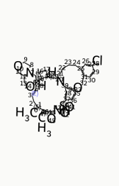 C[C@H]1C/C=C/[C@@]2(CN3CCOCC3CO2)[C@@H]2CC[C@H]2CN2CCCCc3cc(Cl)ccc3COc3ccc(cc32)S(=O)(=O)NC(=O)[C@@H]1C